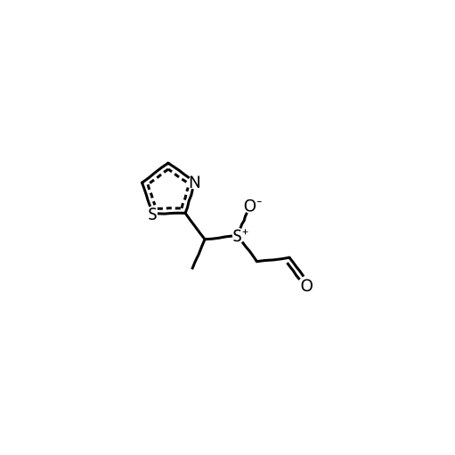 CC(c1nccs1)[S+]([O-])CC=O